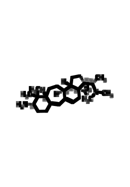 C[C@@H]([C@H]1CC[C@H]2[C@@H]3CC[C@@H]4C(=CC3=CC[C@]12C)CC[C@H](N)C4(C)C)N(C)C